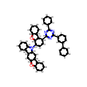 c1ccc(-c2cccc(-c3nc(-c4ccccc4)nc(-c4ccc(-n5c6ccccc6c6cc7oc8ccccc8c7cc65)c5oc6ccccc6c45)n3)c2)cc1